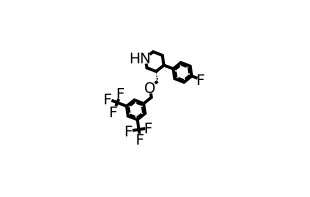 Fc1ccc(C2CCNC[C@H]2COCc2cc(C(F)(F)F)cc(C(F)(F)F)c2)cc1